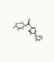 CN1CCN(C(=O)c2ccc([N+](=O)O)cc2)CC1